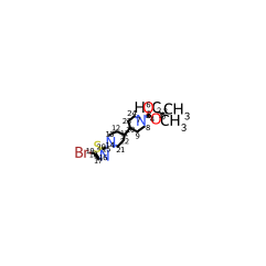 CC(C)(C)OC(=O)N1CCC(C2CCN(c3ncc(Br)s3)CC2)CC1